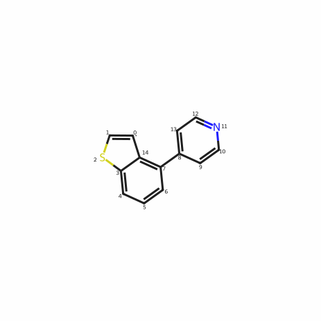 [c]1csc2cccc(-c3ccncc3)c12